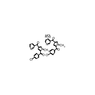 Cl.Cn1cc(C(=O)c2cccnc2)cc1C(=O)c1ccc(Cl)cc1.Cn1cc(C(=O)c2cccnc2)cc1C(=O)c1ccc(Cl)cc1.O